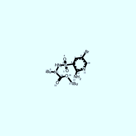 CCC(C)N(NS(=O)(=O)c1cc(Br)cnc1N)C(=O)OC(C)(C)C